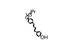 CC(C)OC(C)Oc1ccc(C=CC=Cc2ccc(O)cc2)cc1